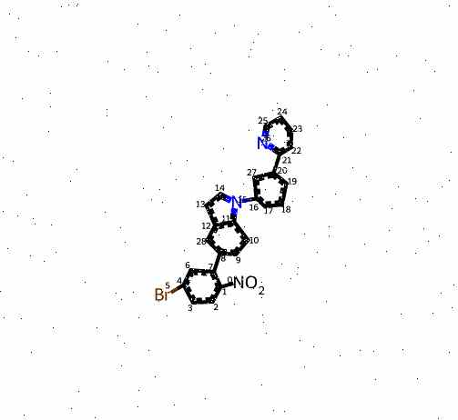 O=[N+]([O-])c1ccc(Br)cc1-c1ccc2c(ccn2-c2cccc(-c3ccccn3)c2)c1